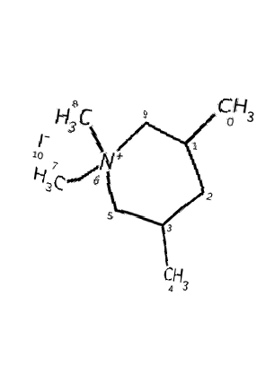 CC1CC(C)C[N+](C)(C)C1.[I-]